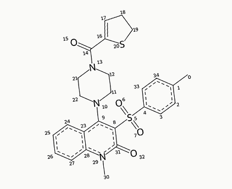 Cc1ccc(S(=O)(=O)c2c(N3CCN(C(=O)C4=CCCS4)CC3)c3ccccc3n(C)c2=O)cc1